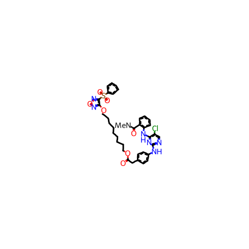 CNC(=O)c1ccccc1Nc1nc(Nc2ccc(CC(=O)OCCCCCCCCCOc3nonc3S(=O)(=O)c3ccccc3)cc2)ncc1Cl